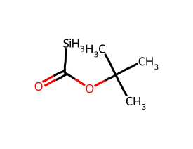 CC(C)(C)OC(=O)[SiH3]